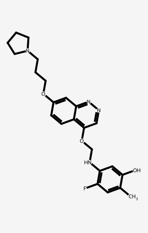 Cc1cc(F)c(NCOc2cnnc3cc(OCCCN4CCCC4)ccc23)cc1O